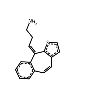 NCCC=C1c2ccccc2C=Cc2ccsc21